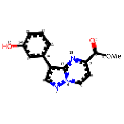 COC(=O)c1ccn2ncc(-c3cccc(O)c3)c2n1